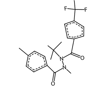 Cc1ccc(C(=O)N(C)N(C(=O)c2ccc(C(F)(F)F)cc2)C(C)(C)C)cc1